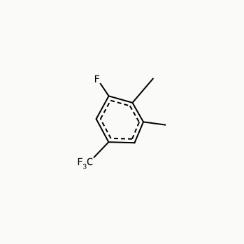 Cc1cc(C(F)(F)F)cc(F)c1C